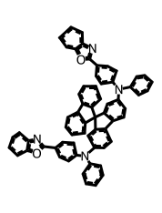 c1ccc(N(c2ccc(-c3nc4ccccc4o3)cc2)c2ccc3c(c2)C2(c4ccccc4-c4ccccc42)c2cc(N(c4ccccc4)c4ccc(-c5nc6ccccc6o5)cc4)ccc2-3)cc1